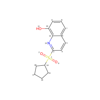 O=S(=O)(c1ccc2cccc(O)c2n1)C1CCCC1